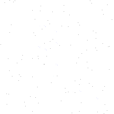 Nc1ncnc2c1c(-c1ccc(Oc3ccccc3)cc1)nn2C1CCCN(Cc2cc3c(cc2F)C(=O)N(C2CCC(=O)NC2=O)C3=O)C1